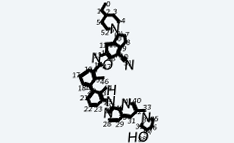 CCC1CCN([C@@H]2CCc3c2cc2nc(-c4cccc(-c5cccc(Nc6nccc7cc(CN8CC[C@@H](O)C8)cnc67)c5C)c4C)oc2c3C#N)CC1